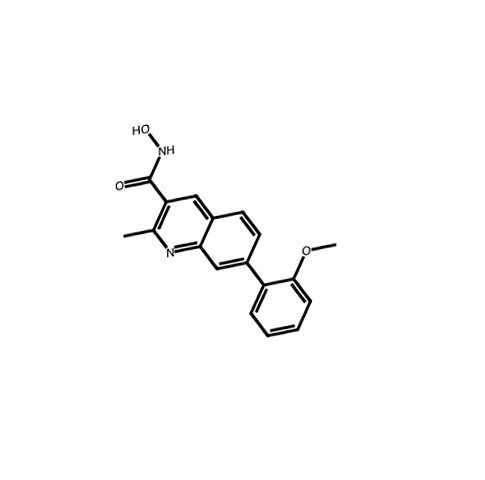 COc1ccccc1-c1ccc2cc(C(=O)NO)c(C)nc2c1